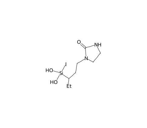 CCC(CCN1CCNC1=O)[Si](O)(O)I